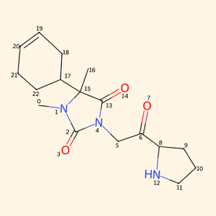 CN1C(=O)N(CC(=O)C2CCCN2)C(=O)C1(C)C1CC=CCC1